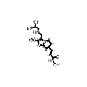 CCC(CC)CNCc1c(C(C)(C)C)nc2cc(C=CC(=O)NO)ccn12